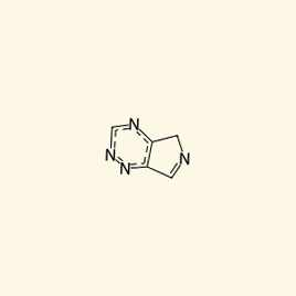 C1=NCc2ncnnc21